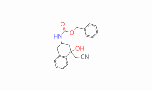 N#CCC1(O)CC(NC(=O)OCc2ccccc2)Cc2ccccc21